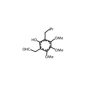 COc1c(CC=O)c(O)c(CC(C)C)c(OC)c1OC